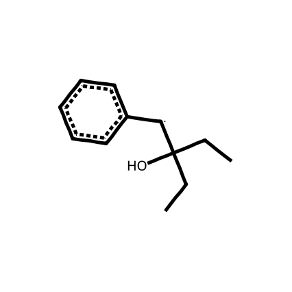 CCC(O)([CH]c1ccccc1)CC